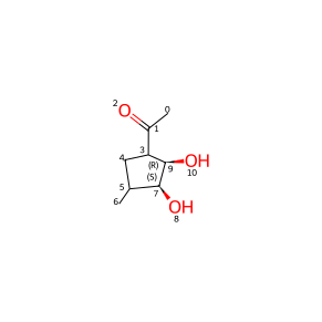 CC(=O)C1CC(C)[C@H](O)[C@@H]1O